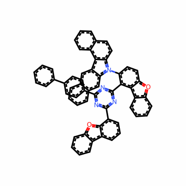 c1ccc(-c2ccc(-c3nc(-c4cccc5c4oc4ccccc45)nc(-c4c(-n5c6cc7ccccc7cc6c6c7ccccc7ccc65)ccc5oc6ccccc6c45)n3)cc2)cc1